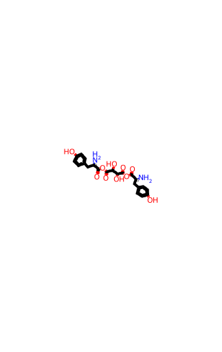 N[C@H](Cc1ccc(O)cc1)C(=O)OC(=O)C(O)C(O)C(=O)OC(=O)[C@H](N)Cc1ccc(O)cc1